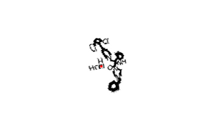 Cl.Cl.O=C(c1[nH]c2ccccc2c1CN1CCC(c2c(Cl)cccc2Cl)CC1)N1CCCN(Cc2ccccc2)CC1